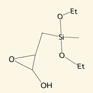 CCO[Si](C)(CC1OC1O)OCC